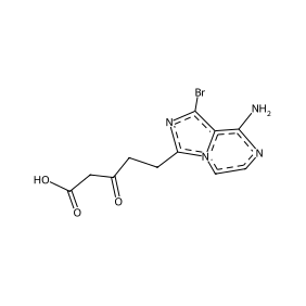 Nc1nccn2c(CCC(=O)CC(=O)O)nc(Br)c12